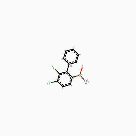 [O-][S+](c1ccc(F)c(F)c1-c1ccccc1)C(F)(F)F